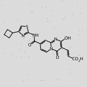 O=C(O)C=Cc1c(O)nc2cc(C(=O)Nc3nc(C4CCC4)cs3)ccn2c1=O